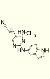 CNc1nc(Nc2ccc3[nH]ccc3c2)ncc1/C=C/C#N